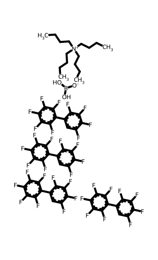 CCCC[N+](CCCC)(CCCC)CCCC.Fc1cc(-c2c(F)c(F)c(F)c(F)c2F)c(F)c(F)c1F.Fc1cc(-c2c(F)c(F)c(F)c(F)c2F)c(F)c(F)c1F.Fc1cc(-c2c(F)c(F)c(F)c(F)c2F)c(F)c(F)c1F.Fc1cc(-c2c(F)c(F)c(F)c(F)c2F)c(F)c(F)c1F.[O-]B(O)O